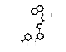 CC(O)c1cccc(Nc2cccc(-c3ccc(C(=O)C[C@H](C)c4cccc5ccccc45)s3)c2)c1